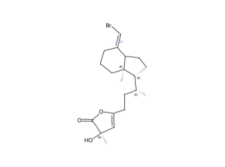 C[C@H](CCC1=C[C@@](C)(O)C(=O)O1)[C@H]1CCC2/C(=C/Br)CCC[C@@]21C